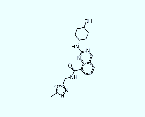 Cc1nnc(CNC(=O)c2cccc3cnc(N[C@H]4CC[C@H](O)CC4)nc23)o1